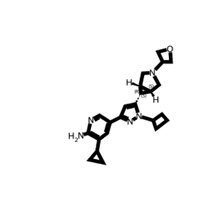 Nc1ncc(-c2cc([C@@H]3[C@@H]4CN(C5COC5)C[C@@H]43)n(C3CCC3)n2)cc1C1CC1